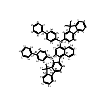 CC1(C)c2ccccc2-c2ccc(N(c3ccc(-c4ccccc4)cc3)c3cc4c(c5ccccc35)c3ccc5c(c3n4-c3ccc(-c4ccccc4)cc3)C(C)(C)c3ccccc3-5)cc21